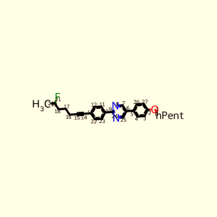 CCCCCOc1ccc(-c2cnc(-c3ccc(C#CCCCC(C)F)cc3)nc2)cc1